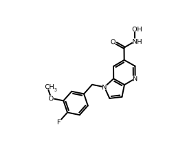 COc1cc(Cn2ccc3ncc(C(=O)NO)cc32)ccc1F